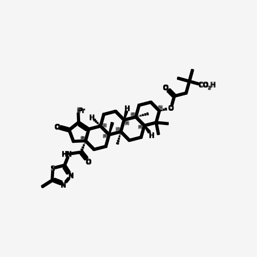 Cc1nnc(NC(=O)[C@@]23CC[C@]4(C)[C@H](CC[C@@H]5[C@@]6(C)CC[C@H](OC(=O)CC(C)(C)C(=O)O)C(C)(C)[C@@H]6CC[C@]54C)C2=C(C(C)C)C(=O)C3)s1